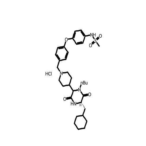 CCCCN1C(=O)[C@H](CC2CCCCC2)NC(=O)C1C1CCN(Cc2ccc(Oc3ccc(NS(C)(=O)=O)cc3)cc2)CC1.Cl